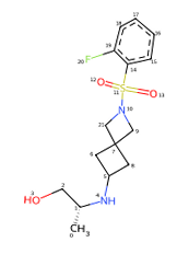 C[C@H](CO)NC1CC2(C1)CN(S(=O)(=O)c1ccccc1F)C2